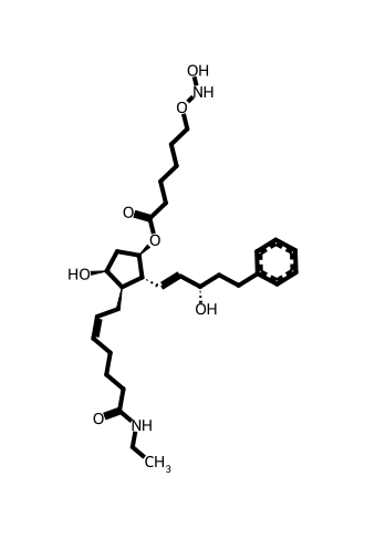 CCNC(=O)CCC/C=C\C[C@@H]1[C@@H](/C=C/[C@@H](O)CCc2ccccc2)[C@H](OC(=O)CCCCCONO)C[C@@H]1O